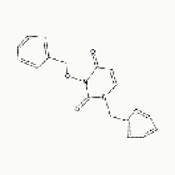 O=c1ccn(Cc2ccccc2)c(=O)n1OCc1ccccc1